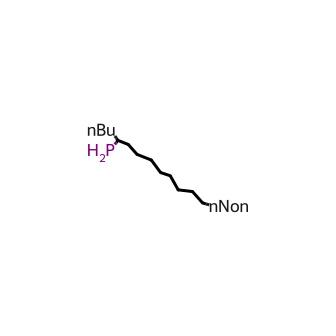 CCCCCCCCCCCCCCCCCC(P)CCCC